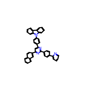 c1ccc(-c2ccc(-c3nc(-c4ccc(-n5c6ccccc6c6ccccc65)cc4)cc(-c4ccc5ccccc5c4)n3)cc2)nc1